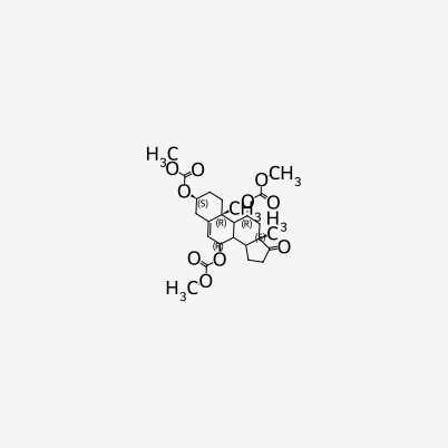 COC(=O)O[C@H]1CC[C@@]2(C)C(=C[C@H](OC(=O)OC)C3C2[C@H](OC(=O)OC)C[C@]2(C)C(=O)CCC32)C1